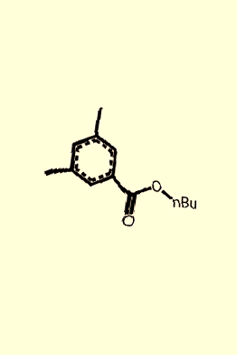 CCCCOC(=O)c1cc(C)cc(C)c1